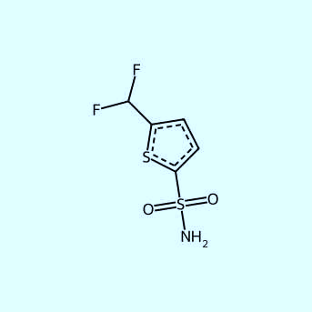 NS(=O)(=O)c1ccc(C(F)F)s1